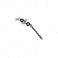 CCCCCCCCCCCCN=Cc1ccc(NC(=O)c2ccc(O)cc2)cc1